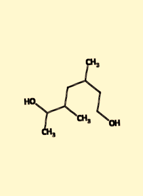 CC(CCO)CC(C)C(C)O